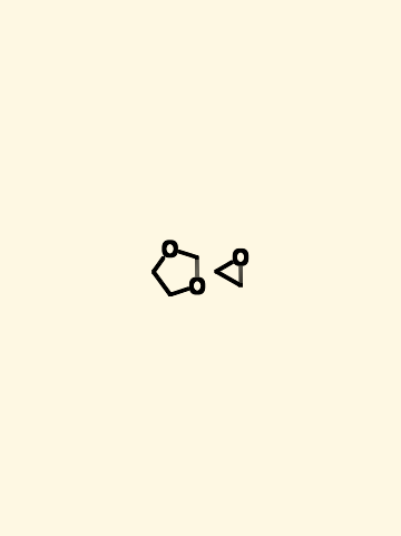 C1CO1.C1COCO1